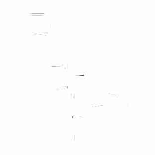 CCOC(=O)[C@H](CCc1ccccc1)N[C@@H](C)C(=O)N(CC(=O)OC(C)(C)C)OCc1ccccc1